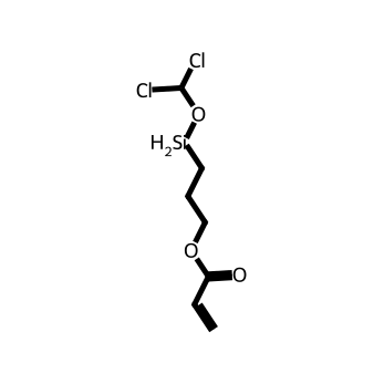 C=CC(=O)OCCC[SiH2]OC(Cl)Cl